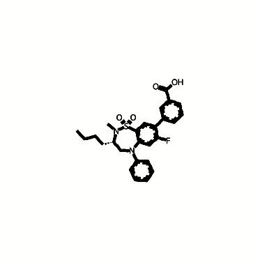 CCCC[C@H]1CN(c2ccccc2)c2cc(F)c(-c3cccc(C(=O)O)c3)cc2S(=O)(=O)N1C